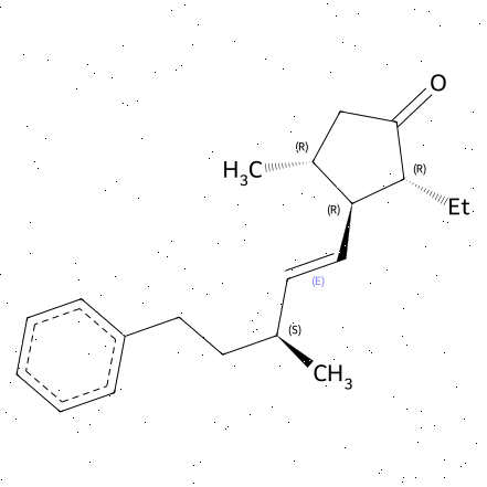 CC[C@H]1C(=O)C[C@@H](C)[C@@H]1/C=C/[C@@H](C)CCc1ccccc1